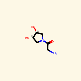 NCC(=O)N1C[C@H](O)[C@@H](O)C1